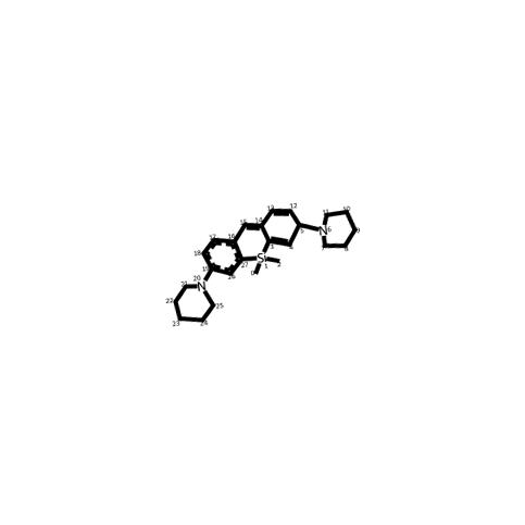 C[Si]1(C)C2=CC(N3CCCCC3)C=CC2=Cc2ccc(N3CCCCC3)cc21